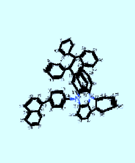 c1ccc(-c2c(-c3ccccc3)c3cc(N(c4ccc(-c5cccc6ccccc56)cc4)c4cccc5c6ccccc6n(-c6ccccc6)c45)ccc3c3ccccc23)cc1